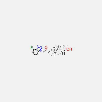 Cc1ccc2c(nnn2CC(=O)[C@H]2CC[C@H]3[C@@H]4CC[C@@H]5C[C@](C)(O)CC[C@]5(C)[C@H]4CC[C@]23C)c1F